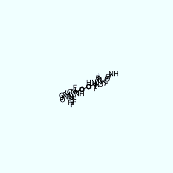 COC(=O)N[C@H](C(=O)N1C[C@@H](C(F)(F)F)C[C@H]1c1nc(F)c(-c2ccc(-c3ccc(-c4[nH]c([C@@H]5C[C@H](C)CN5C(=O)[C@@H](COOC=N)C(C)C)nc4F)cc3)cc2)[nH]1)C(C)C